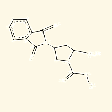 CCOC(=O)C1CC(N2C(=O)c3ccccc3C2=O)CN1C(=O)OC(C)(C)C